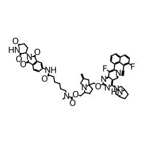 C#Cc1c(F)ccc2cccc(-c3ncc4c(N5CC6CCC(C5)N6)nc(OCC56CCC(COC(=O)N(C)CCCCCC(=O)Nc7ccc8c(c7)C(=O)N(C7CCC(=O)NC7=O)C8=O)N5CC(=C)C6)nc4c3F)c12